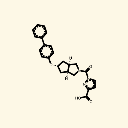 O=C(O)c1ccn(C(=O)N2C[C@H]3C[C@H](Oc4ccc(-c5ccccc5)cc4)C[C@H]3C2)n1